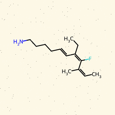 C\C=C(C)/C(F)=C(\C=C\CCCCN)CC